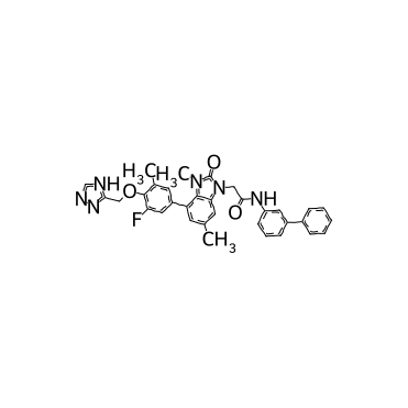 Cc1cc(-c2cc(C)c(OCc3nnc[nH]3)c(F)c2)c2c(c1)n(CC(=O)Nc1cccc(-c3ccccc3)c1)c(=O)n2C